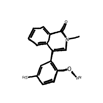 CCCOc1ccc(S)cc1-c1cn(C)c(=O)c2ccccc12